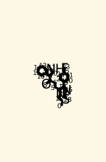 Cc1cn2c(C=CC(=O)c3c[nH]c4ccccc34)c(-c3ccc(F)cc3)nc2s1